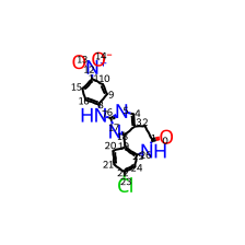 O=C1Cc2cnc(Nc3ccc([N+](=O)[O-])cc3)nc2-c2ccc(Cl)cc2N1